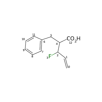 C=CC(F)C(Cc1ccccc1)C(=O)O